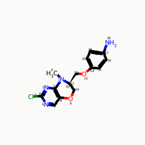 CN1c2nc(Cl)ncc2OC[C@@H]1COc1ccc(N)cc1